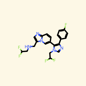 Fc1ccc(-c2ncn(CC(F)F)c2-c2ccc3ncc(CNCC(F)F)n3c2)cc1